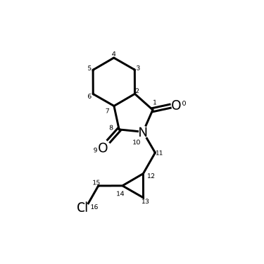 O=C1C2CCCCC2C(=O)N1CC1CC1CCl